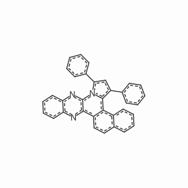 c1ccc(-c2cc(-c3ccccc3)n3c4nc5ccccc5nc4c4ccc5ccccc5c4c23)cc1